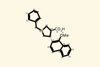 COc1c([C@@H]2CN(Cc3ccccc3)C[C@H]2C(=O)O)ccc2ccccc12